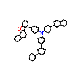 c1ccc(-c2cccc(-c3ccc(N(c4ccc(-c5ccc6ccccc6c5)cc4)c4ccc(-c5cccc6oc7c8ccccc8ccc7c56)cc4)cc3)c2)cc1